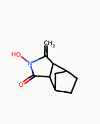 C=C1C2C3CCC(C3)C2C(=O)N1O